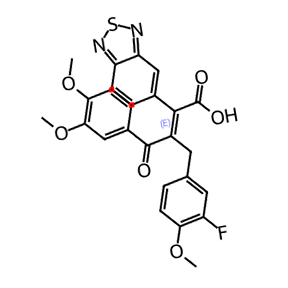 COc1ccc(C/C(C(=O)c2ccc(OC)c(OC)c2)=C(\C(=O)O)c2ccc3nsnc3c2)cc1F